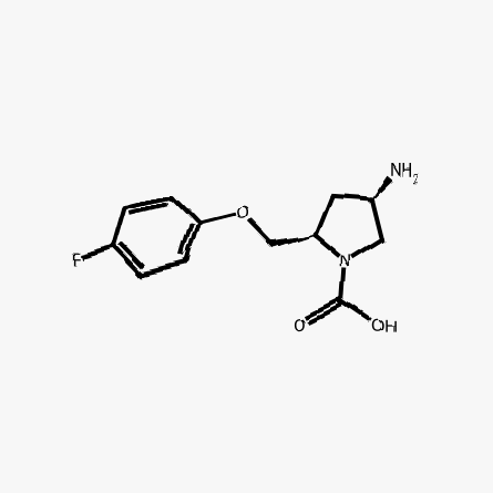 N[C@@H]1C[C@H](COc2ccc(F)cc2)N(C(=O)O)C1